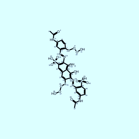 CC(=O)Nc1ccc(SOOO)c(/N=N/c2c(S(=O)(=O)O)cc3cc(SOOO)c(/N=N/c4cc(NC(C)=O)ccc4S(=O)(=O)O)c(O)c3c2N)c1